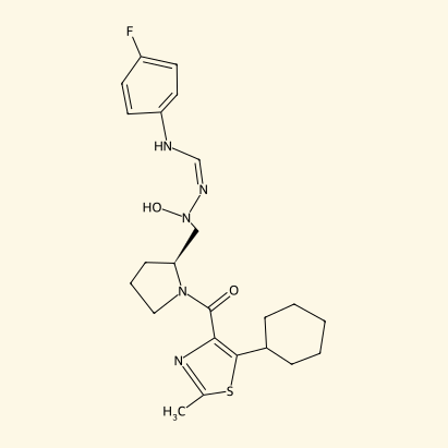 Cc1nc(C(=O)N2CCC[C@H]2CN(O)/N=C\Nc2ccc(F)cc2)c(C2CCCCC2)s1